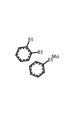 CCc1ccccc1.CCc1ccccc1CC.[Mo]